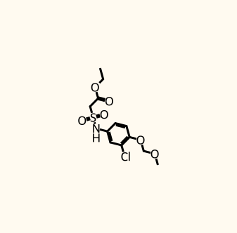 CCOC(=O)CS(=O)(=O)Nc1ccc(OCOC)c(Cl)c1